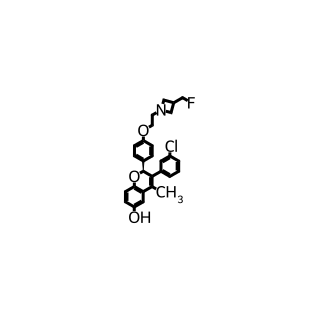 CC1=C(c2cccc(Cl)c2)[C@H](c2ccc(OCCN3CC(CF)C3)cc2)Oc2ccc(O)cc21